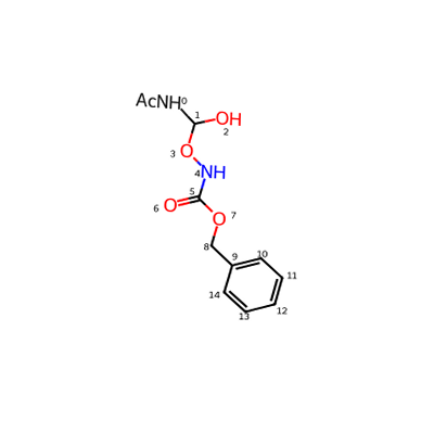 CC(=O)NC(O)ONC(=O)OCc1ccccc1